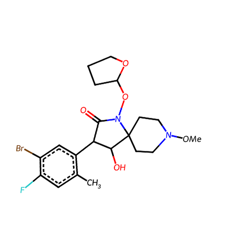 CON1CCC2(CC1)C(O)C(c1cc(Br)c(F)cc1C)C(=O)N2OC1CCCO1